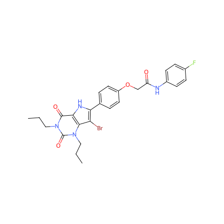 CCCn1c(=O)c2[nH]c(-c3ccc(OCC(=O)Nc4ccc(F)cc4)cc3)c(Br)c2n(CCC)c1=O